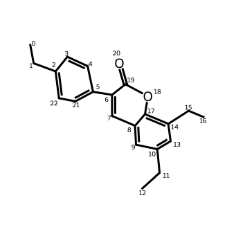 CCc1ccc(-c2cc3cc(CC)cc(CC)c3oc2=O)cc1